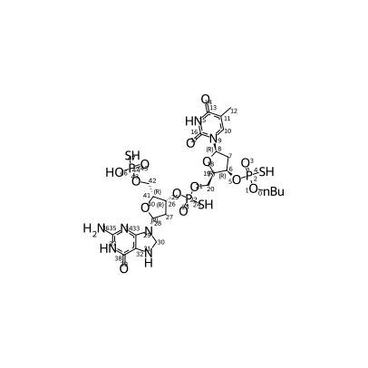 CCCCOP(=O)(S)O[C@@H]1C[C@H](n2cc(C)c(=O)[nH]c2=O)O[C@@H]1COP(=O)(S)O[C@@H]1C[C@H](N2CNc3c2nc(N)[nH]c3=O)O[C@@H]1COP(=O)(O)S